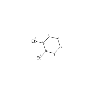 CC[C]1CCCCC1CC